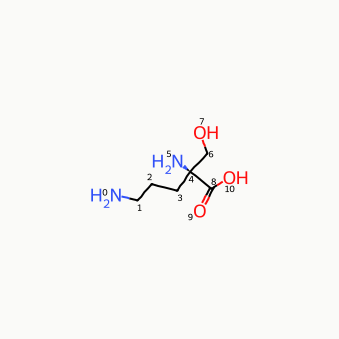 NCCC[C@](N)(CO)C(=O)O